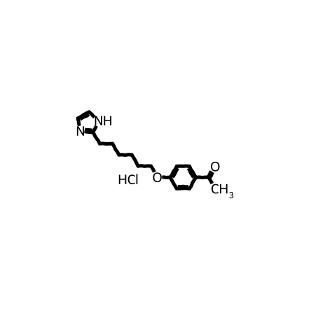 CC(=O)c1ccc(OCCCCCCc2ncc[nH]2)cc1.Cl